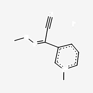 CON=C(C#N)c1ccc[n+](C)c1.[I-]